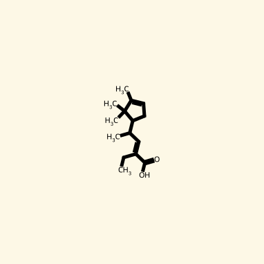 CC/C(=C\C(C)C1CC=C(C)C1(C)C)C(=O)O